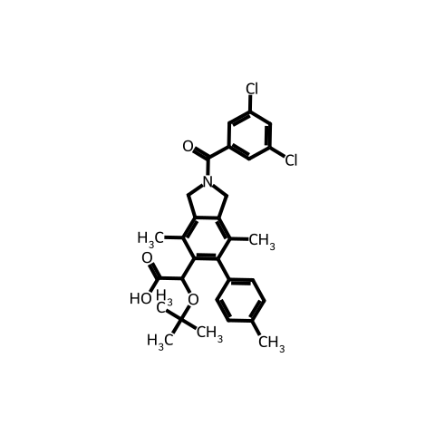 Cc1ccc(-c2c(C)c3c(c(C)c2C(OC(C)(C)C)C(=O)O)CN(C(=O)c2cc(Cl)cc(Cl)c2)C3)cc1